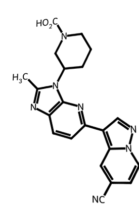 Cc1nc2ccc(-c3cnn4ccc(C#N)cc34)nc2n1C1CCCN(C(=O)O)C1